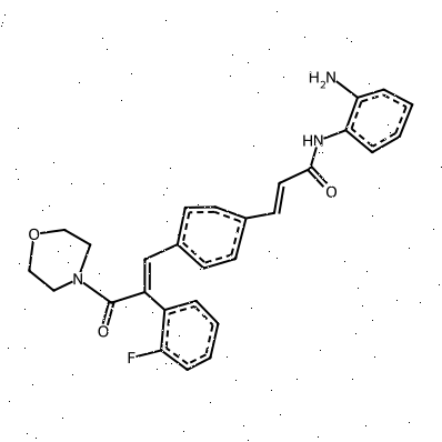 Nc1ccccc1NC(=O)/C=C/c1ccc(/C=C(/C(=O)N2CCOCC2)c2ccccc2F)cc1